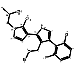 CCOCc1c(-c2c(F)cccc2Cl)c[nH]c1-c1cnn(C[C@@H](C)O)c1C(F)(F)F